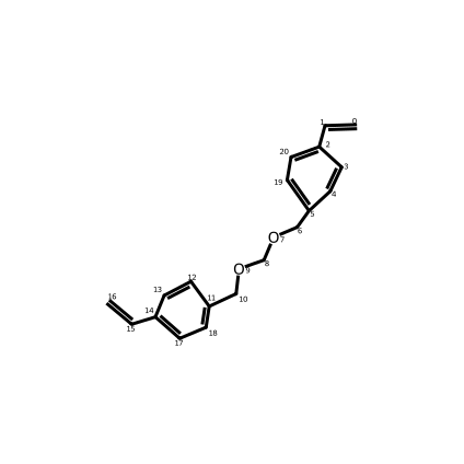 C=Cc1ccc(COCOCc2ccc(C=C)cc2)cc1